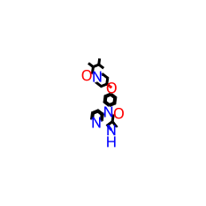 CC(C)C(C)C(=O)N1CCC(Oc2ccc(N(C(=O)C3CNC3)c3cccnc3)cc2)CC1